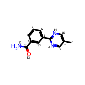 Cc1cnc(-c2cccc(C(N)=O)c2)nc1